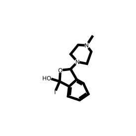 CN1CCN(C2OC(O)(I)c3ccccc32)CC1